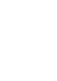 C1CCCCC1.C1CCCCC1.C1CCCCC1.CCOC(C)=O